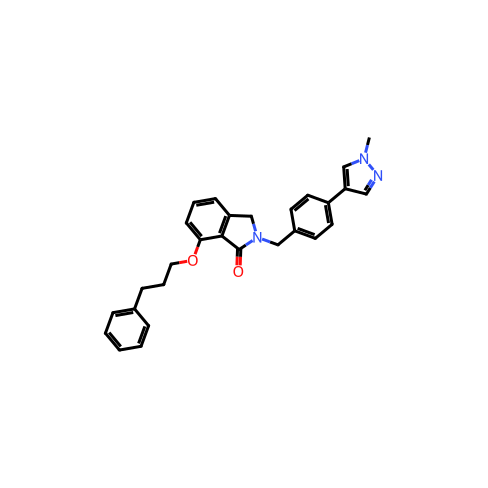 Cn1cc(-c2ccc(CN3Cc4cccc(OCCCc5ccccc5)c4C3=O)cc2)cn1